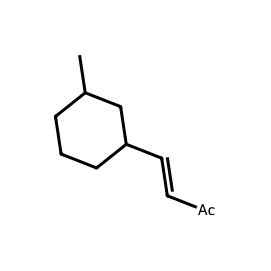 CC(=O)C=CC1CCCC(C)C1